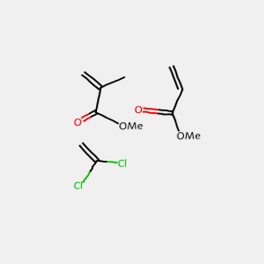 C=C(C)C(=O)OC.C=C(Cl)Cl.C=CC(=O)OC